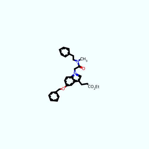 CCOC(=O)CCc1cn(CC(=O)N(C)CCc2ccccc2)c2ccc(OCc3ccccc3)cc12